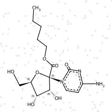 CCCCCOC(=O)[C@@]1(n2ccc(N)nc2=O)O[C@H](CO)[C@@H](O)[C@H]1O